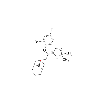 CC1(C)OC[C@@H](C(CCB2C3CCCC2CCC3)Oc2ccc(F)cc2Br)O1